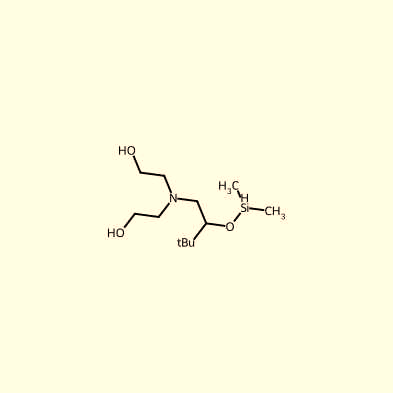 C[SiH](C)OC(CN(CCO)CCO)C(C)(C)C